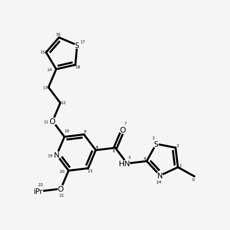 Cc1csc(NC(=O)c2cc(OCCc3ccsc3)nc(OC(C)C)c2)n1